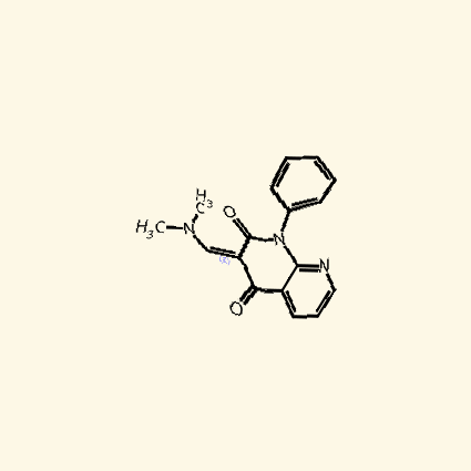 CN(C)/C=C1/C(=O)c2cccnc2N(c2ccccc2)C1=O